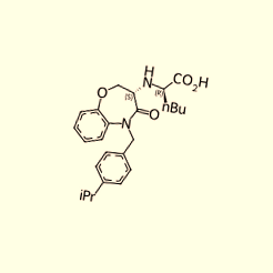 CCCC[C@@H](N[C@H]1COc2ccccc2N(Cc2ccc(C(C)C)cc2)C1=O)C(=O)O